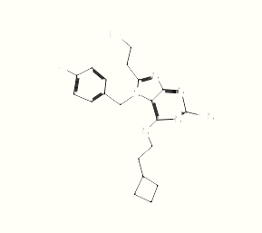 N#Cc1nc(NCCC2CCC2)c2c(n1)nc(CCO)n2Cc1ccc(C(F)(F)F)cc1